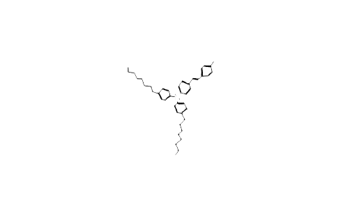 CCCCCCCCc1ccc(N(c2ccc(/C=C/c3ccc(C)cc3)cc2)c2ccc(CCCCCCCC)cc2)cc1